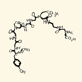 CC(=O)N(CC(=O)O)CC(=O)NCCNC(=O)CN(CC(=O)O)C(=O)CNC(=O)CNC(=O)CN(CC(=O)O)C(=O)CNC(=O)CNC(=O)[C@H](Cc1ccc(O)cc1)NC=O